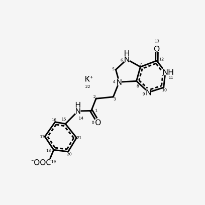 O=C(CCN1CNc2c1nc[nH]c2=O)Nc1ccc(C(=O)[O-])cc1.[K+]